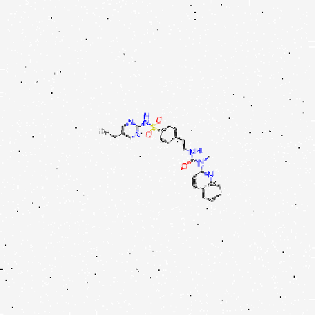 CC(C)Cc1cnc(NS(=O)(=O)c2ccc(CCNC(=O)N(C)c3ccc4ccccc4n3)cc2)nc1